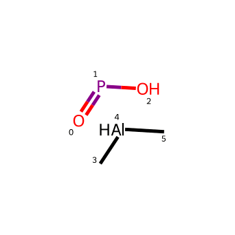 O=PO.[CH3][AlH][CH3]